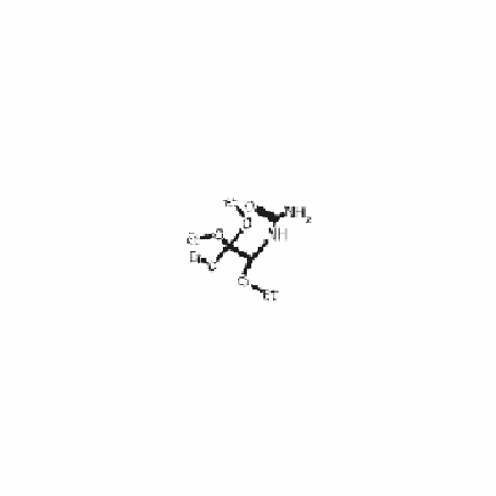 CCOC(NC(N)=O)C(OCC)(OCC)OCC